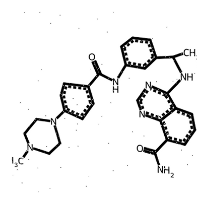 CC(Nc1ncnc2c(C(N)=O)cccc12)c1cccc(NC(=O)c2ccc(N3CCN(C)CC3)cc2)c1